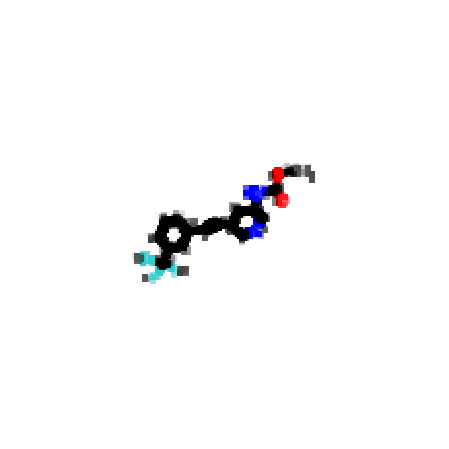 COC(=O)Nc1cncc(C#Cc2cccc(C(F)(F)F)c2)c1